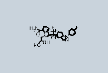 NC(=O)c1cccc2c(C(O)(c3ccc4c(cnn4-c4ccc(F)cc4)c3)C(F)(F)F)cn(CC(O)CO)c12